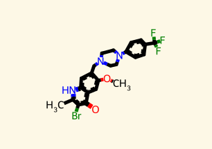 COc1cc2c(=O)c(Br)c(C)[nH]c2cc1CN1CCN(c2ccc(C(F)(F)F)cc2)CC1